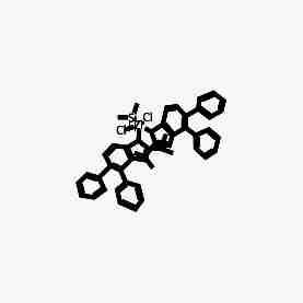 CC(C)C1=Cc2c(ccc(-c3ccccc3)c2-c2ccccc2)[CH]1[Zr]([Cl])([Cl])([CH]1C(C(C)C)=Cc2c1ccc(-c1ccccc1)c2-c1ccccc1)[SiH](C)C